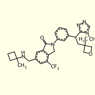 Cn1cnnc1C(CC1(C)COC1)c1cccc(N2Cc3c(cc(CNC4(C)CCC4)cc3C(F)(F)F)C2=O)c1